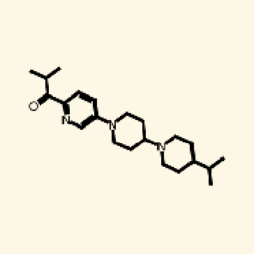 CC(C)C(=O)c1ccc(N2CCC(N3CCC(C(C)C)CC3)CC2)cn1